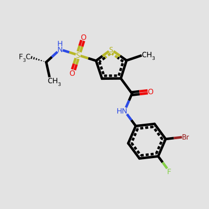 Cc1sc(S(=O)(=O)N[C@H](C)C(F)(F)F)cc1C(=O)Nc1ccc(F)c(Br)c1